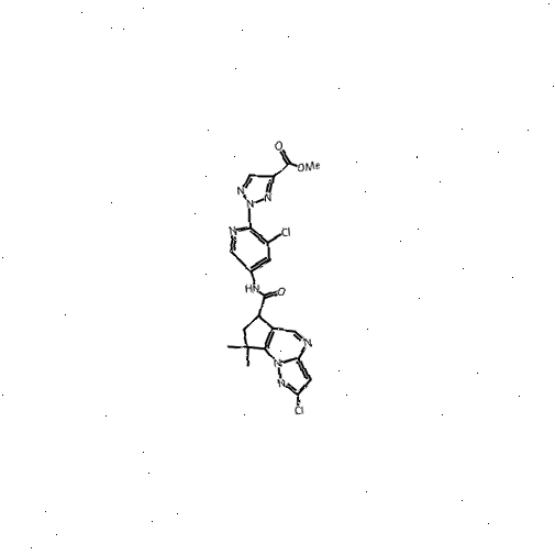 COC(=O)c1cnn(-c2ncc(NC(=O)C3CC(C)(C)c4c3cnc3cc(Cl)nn43)cc2Cl)n1